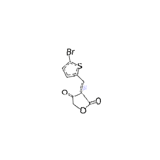 O=C1COC(=O)/C1=C/c1ccc(Br)s1